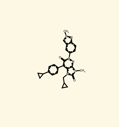 Cn1cc2cc(-n3nc4c(c(-c5ccc(C6CC6)cc5)c3=O)n(CC3CC3)c(=O)n4C)ccc2n1